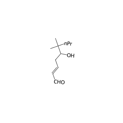 CCCC(C)(C)C(O)CC=CC=O